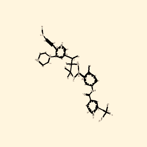 Cc1ccc(NC(=O)c2ccnc(C(F)(F)F)c2)cc1B1OC(C)(C)C(C)(C(C)c2cnc(C#CSI)c(N3CCOCC3)c2)O1